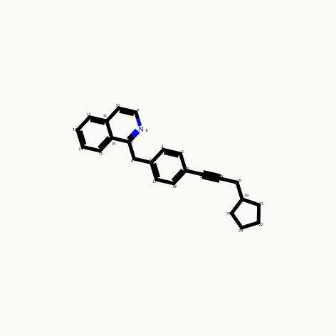 C(#Cc1ccc(Cc2nccc3ccccc23)cc1)CC1CCCC1